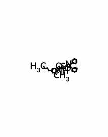 CCCCc1ccc(NC(=O)CSc2nc(-c3ccccc3)c(-c3ccccc3)o2)c(C)c1